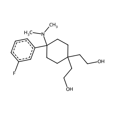 CN(C)C1(c2cccc(F)c2)CCC(CCO)(CCO)CC1